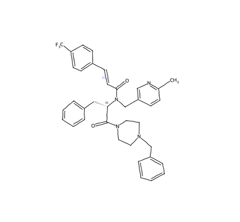 Cc1ccc(CN(C(=O)/C=C/c2ccc(C(F)(F)F)cc2)[C@@H](Cc2ccccc2)C(=O)N2CCN(Cc3ccccc3)CC2)cn1